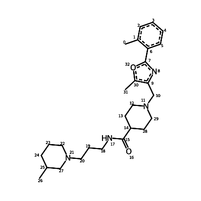 Cc1ccccc1-c1nc(CN2CCC(C(=O)NCCCN3CCCC(C)C3)CC2)c(C)o1